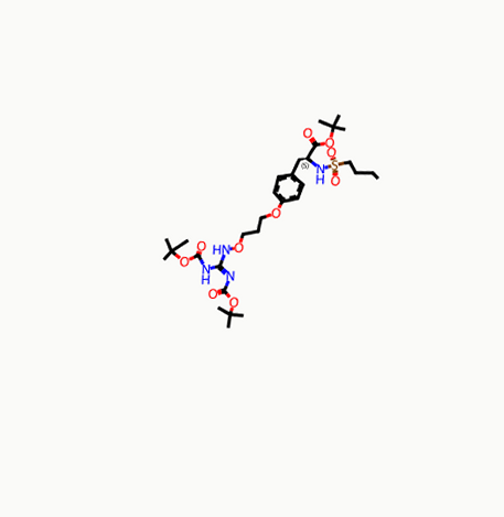 CCCCS(=O)(=O)N[C@@H](Cc1ccc(OCCCONC(=NC(=O)OC(C)(C)C)NC(=O)OC(C)(C)C)cc1)C(=O)OC(C)(C)C